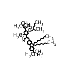 CCCCCCCCC1(CCCCCCCC)c2cc(/C=C(\C#N)c3cc(OCC(CC)CCCC)c(/C(C#N)=C/C(C)(C)C)cc3OC)ccc2-c2ccc(C(C)(C)C)cc21